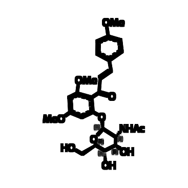 COc1ccc(C=CC(=O)c2c(OC)cc(OC)cc2O[C@@H]2O[C@H](CO)[C@@H](O)[C@H](O)[C@H]2NC(C)=O)cc1